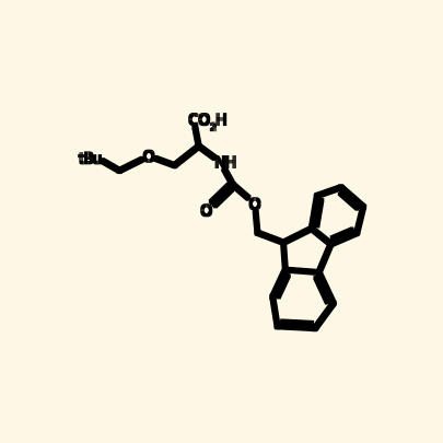 CC(C)(C)COCC(NC(=O)OCC1c2ccccc2-c2ccccc21)C(=O)O